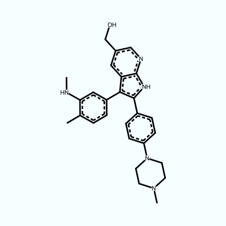 CNc1cc(-c2c(-c3ccc(N4CCN(C)CC4)cc3)[nH]c3ncc(CO)cc23)ccc1C